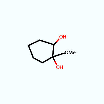 COC1(O)CCCCC1O